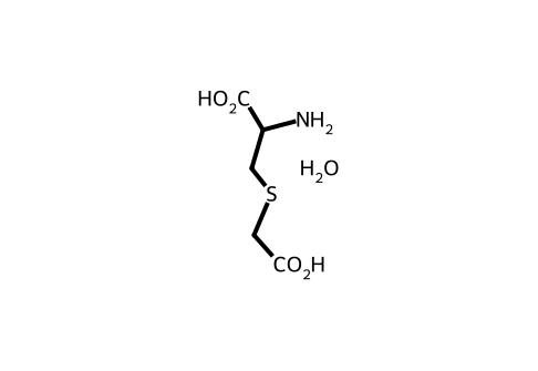 NC(CSCC(=O)O)C(=O)O.O